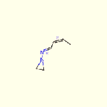 C/C=C\C=N\N1CC1